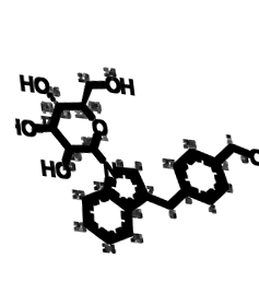 CCc1ccc(Cc2cn(C3O[C@H](CO)[C@@H](O)C(O)C3O)c3ccccc23)cc1